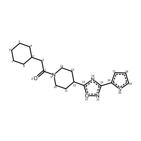 O=C(CC1CCCCC1)N1CCC(c2nc(-c3cccs3)no2)CC1